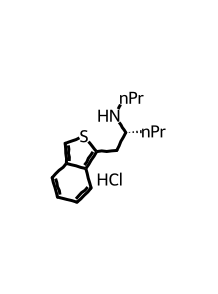 CCCN[C@H](CCC)Cc1scc2ccccc12.Cl